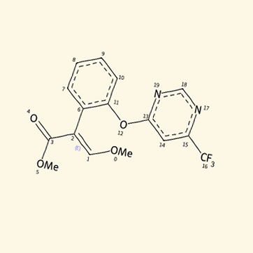 CO/C=C(/C(=O)OC)c1ccccc1Oc1cc(C(F)(F)F)ncn1